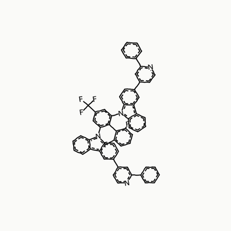 Fc1cccc(F)c1-c1c(-n2c3ccccc3c3cc(-c4ccnc(-c5ccccc5)c4)ccc32)cc(C(F)(F)F)cc1-n1c2ccccc2c2cc(-c3ccnc(-c4ccccc4)c3)ccc21